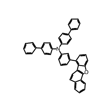 c1ccc(-c2ccc(N(c3ccc(-c4ccccc4)cc3)c3cccc(-c4cccc5oc6c7ccccc7ccc6c45)c3)cc2)cc1